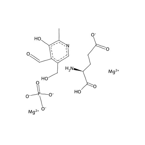 Cc1ncc(CO)c(C=O)c1O.N[C@@H](CCC(=O)[O-])C(=O)O.O=P([O-])([O-])[O-].[Mg+2].[Mg+2]